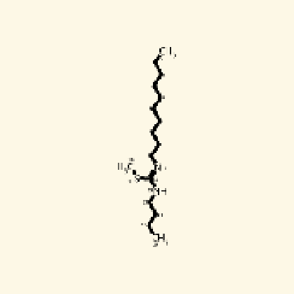 CCCCCCCCCC/N=C(/NCCCC)SC